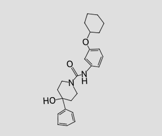 O=C(Nc1cccc(OC2CCCCC2)c1)N1CCC(O)(c2ccccc2)CC1